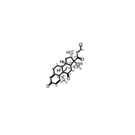 C[C@H]1C[C@H]2[C@@H]3CCC4=CC(=O)C=C[C@]4(C)[C@@]3(F)C(=O)C[C@]2(C)[C@@]1(O)C(=O)SCCl